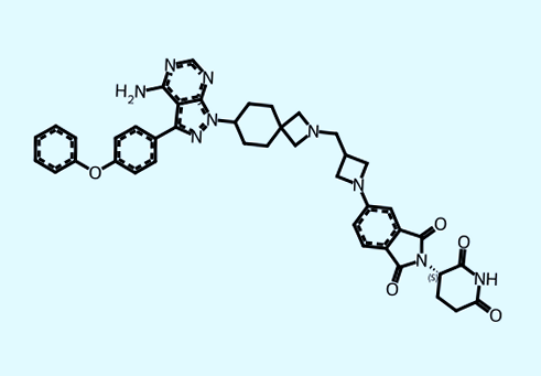 Nc1ncnc2c1c(-c1ccc(Oc3ccccc3)cc1)nn2C1CCC2(CC1)CN(CC1CN(c3ccc4c(c3)C(=O)N([C@H]3CCC(=O)NC3=O)C4=O)C1)C2